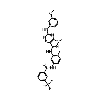 COc1cccc(Nc2ncc3c(Nc4cc(NC(=O)c5cccc(C(F)(F)F)c5)ccc4C)nn(C)c3n2)c1